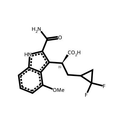 COc1cccc2[nH]c(C(N)=O)c([C@H](CC3CC3(F)F)C(=O)O)c12